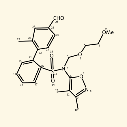 COCCOCN(c1onc(C)c1C)S(=O)(=O)c1ccccc1-c1ccc(C=O)cc1C